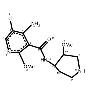 COc1ncc(Cl)c(N)c1C(=O)NC1CCNCC1OC